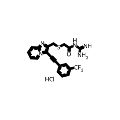 Cl.N=C(N)NC(=O)CSCc1nc2ccccn2c1C#Cc1cccc(C(F)(F)F)c1